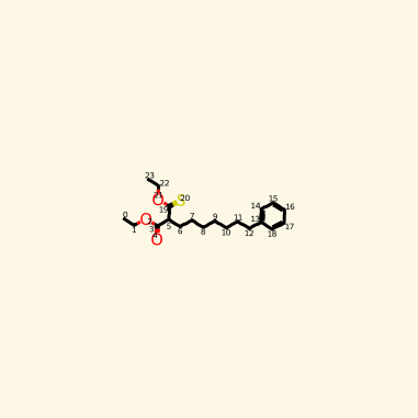 CCOC(=O)C(CCCCCCCc1ccccc1)C(=S)OCC